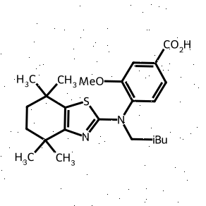 CCC(C)CN(c1nc2c(s1)C(C)(C)CCC2(C)C)c1ccc(C(=O)O)cc1OC